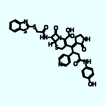 O=C(CC(C(=C1CCNC1=O)C1=C(C(=O)O)N2C(=O)[C@@H](NC(=O)CSc3nc4ccccc4s3)[C@H]2SC1)c1ccncc1)Nc1ccc(O)cc1